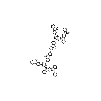 CC1(C)c2ccccc2-c2ccc(-c3nc(-c4ccc5c(c4)C(C)(C)c4cc(-c6ccc7c(c6)C(C)(C)c6cc(-c8nc(-c9ccc%10c(c9)C(C)(C)c9ccccc9-%10)nc(-n9c%10ccccc%10c%10cc%11c(cc%109)c9ccccc9n%11-c9ccccc9)n8)ccc6-7)ccc4-5)nc(-n4c5ccccc5c5cc6[nH]c7ccccc7c6cc54)n3)cc21